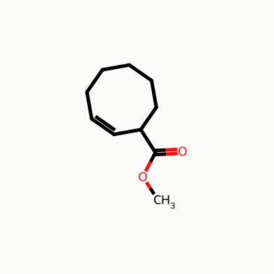 COC(=O)C1C=CCCCCC1